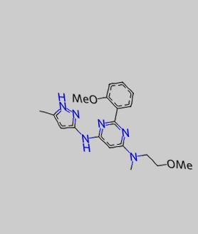 COCCN(C)c1cc(Nc2cc(C)[nH]n2)nc(-c2ccccc2OC)n1